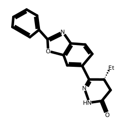 CC[C@@H]1CC(=O)NN=C1c1ccc2nc(-c3ccccc3)oc2c1